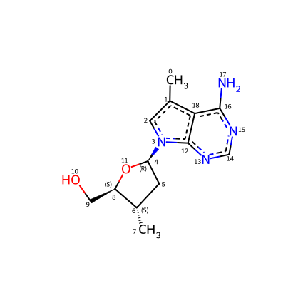 Cc1cn([C@H]2C[C@H](C)[C@@H](CO)O2)c2ncnc(N)c12